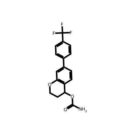 NC(=O)OC1CCOc2cc(-c3ccc(C(F)(F)F)cc3)ccc21